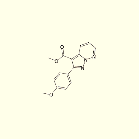 COC(=O)c1c(-c2ccc(OC)cc2)nn2ncccc12